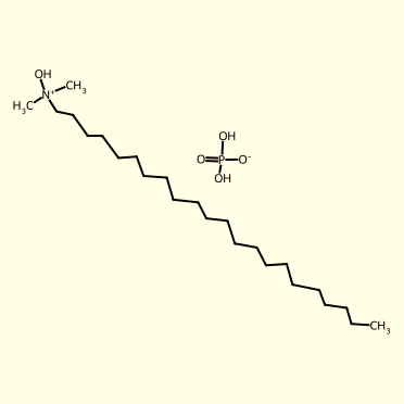 CCCCCCCCCCCCCCCCCCCCCC[N+](C)(C)O.O=P([O-])(O)O